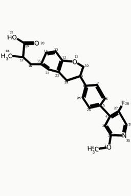 COc1cc(-c2ccc(C3COc4ccc(CC(C)C(=O)O)cc4C3)cc2)c(F)cn1